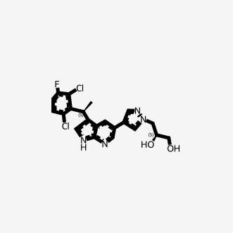 C[C@H](c1c(Cl)ccc(F)c1Cl)c1c[nH]c2ncc(-c3cnn(C[C@H](O)CO)c3)cc12